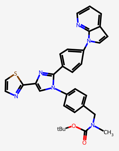 CN(Cc1ccc(-n2cc(-c3nccs3)nc2-c2ccc(-n3ccc4cccnc43)cc2)cc1)C(=O)OC(C)(C)C